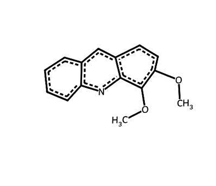 COc1ccc2cc3ccccc3nc2c1OC